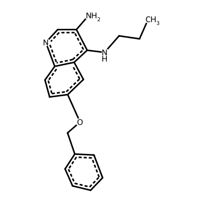 CCCNc1c(N)cnc2ccc(OCc3ccccc3)cc12